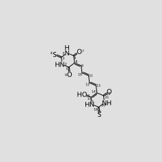 O=C1NC(=S)NC(=O)C1=C/C=C/C=C/c1c(O)[nH]c(=S)[nH]c1=O